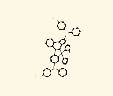 CC(C)(C)c1ccc(N(c2ccccc2)c2ccc3c(c2)C2(c4ccccc4Oc4ccccc42)c2c-3c3ccccc3c3cc(N(c4ccccc4)c4ccc(C(C)(C)C)cc4)ccc23)cc1